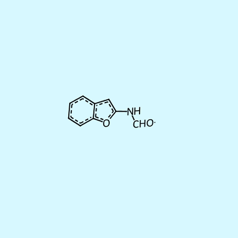 O=[C]Nc1cc2ccccc2o1